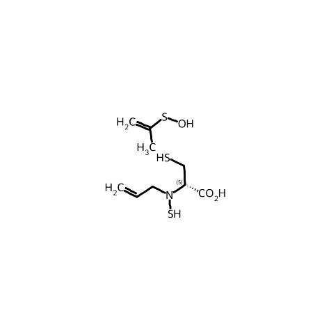 C=C(C)SO.C=CCN(S)[C@H](CS)C(=O)O